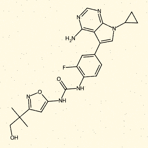 CC(C)(CO)c1cc(NC(=O)Nc2ccc(-c3cn(C4CC4)c4ncnc(N)c34)cc2F)on1